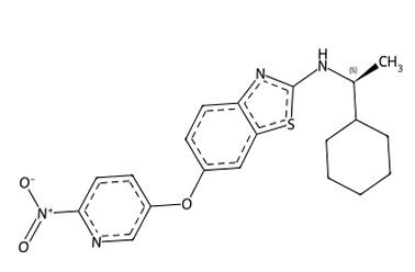 C[C@H](Nc1nc2ccc(Oc3ccc([N+](=O)[O-])nc3)cc2s1)C1CCCCC1